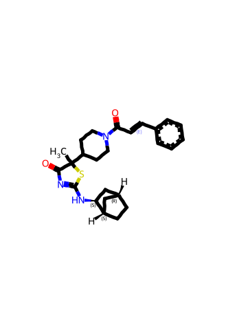 CC1(C2CCN(C(=O)/C=C/c3ccccc3)CC2)SC(N[C@H]2C[C@@H]3CC[C@H]2C3)=NC1=O